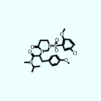 COc1ccc(CC(C(=O)N(C)C(C)C)N2CN(S(=O)(=O)c3cc(Cl)ccc3OC)CCC2=O)cc1